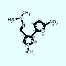 CN(C)/N=C/c1cn(C)nc1-c1ccc([N+](=O)[O-])o1